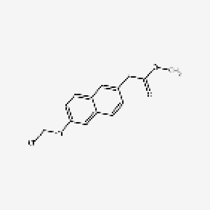 COC(=O)Cc1ccc2cc(OCCl)ccc2c1